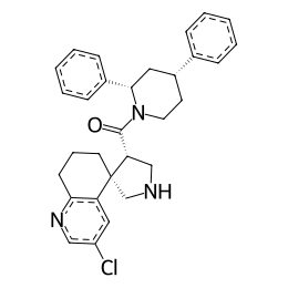 O=C([C@@H]1CNC[C@]12CCCc1ncc(Cl)cc12)N1CC[C@@H](c2ccccc2)C[C@H]1c1ccccc1